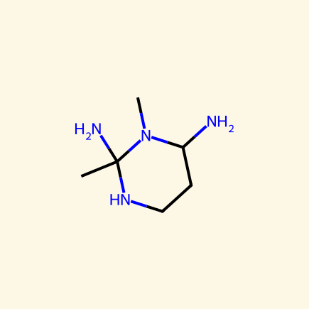 CN1C(N)CCNC1(C)N